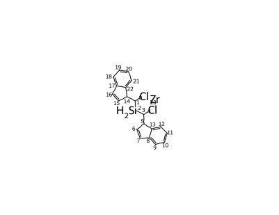 ClC([SiH2]C(Cl)C1C=Cc2ccccc21)C1C=Cc2ccccc21.[Zr]